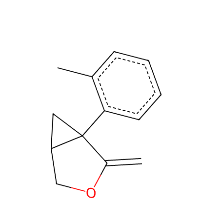 C=C1OCC2CC12c1ccccc1C